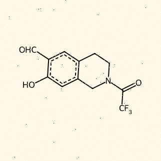 O=Cc1cc2c(cc1O)CN(C(=O)C(F)(F)F)CC2